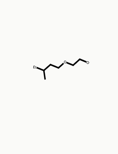 CCC(C)CCOCC[O]